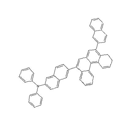 C1=Cc2c(c(-c3ccc4ccccc4c3)cc3cc(-c4ccc5cc(N(c6ccccc6)c6ccccc6)ccc5c4)c4ccccc4c23)CC1